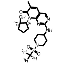 [2H]C([2H])([2H])S(=O)(=O)N1CCC(Nc2ncc3cc(C)c(=O)n([C@@H]4CCC[C@@]4(C)O)c3n2)CC1